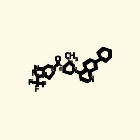 C[C@@H]1CN(c2ccnc3cc(-c4ccccc4)ccc23)CC[C@@H]1C(=O)N1CCn2c(nnc2C(F)(F)F)C1